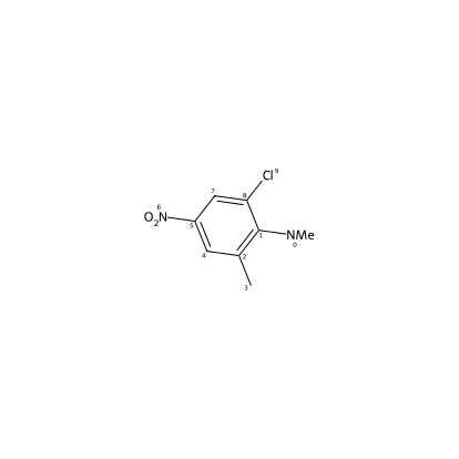 CNc1c(C)cc([N+](=O)[O-])cc1Cl